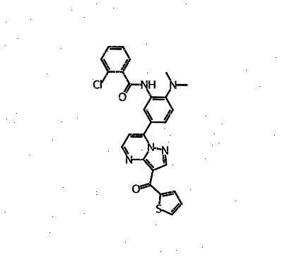 CN(C)c1ccc(-c2ccnc3c(C(=O)c4cccs4)cnn23)cc1NC(=O)c1ccccc1Cl